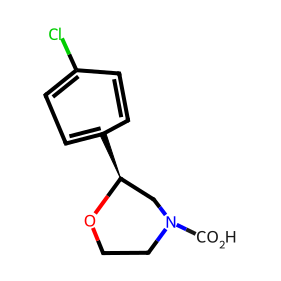 O=C(O)N1CCO[C@@H](c2ccc(Cl)cc2)C1